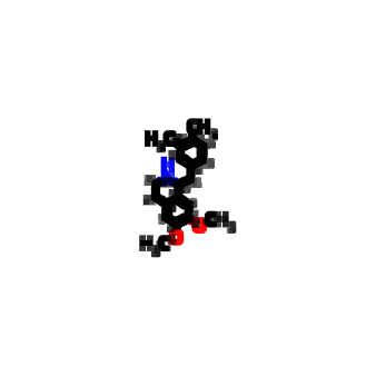 COc1cc2c(cc1OC)C(Cc1ccc(C)c(C)c1)NCC2